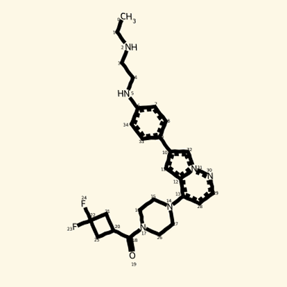 CCNCCNc1ccc(-c2cc3c(N4CCN(C(=O)C5CC(F)(F)C5)CC4)ccnn3c2)cc1